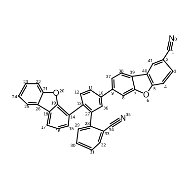 N#Cc1ccc2oc3cc(-c4ccc(-c5cccc6c5oc5ccccc56)c(-c5ccccc5C#N)c4)ccc3c2c1